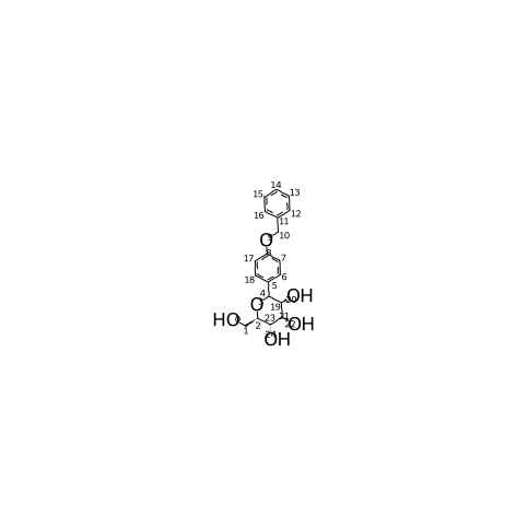 OC[C@H]1OC(c2ccc(OCc3ccccc3)cc2)[C@@H](O)[C@@H](O)[C@@H]1O